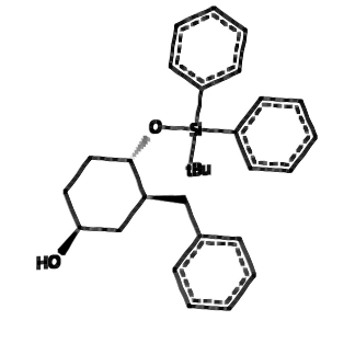 CC(C)(C)[Si](O[C@H]1CC[C@H](O)C[C@@H]1Cc1ccccc1)(c1ccccc1)c1ccccc1